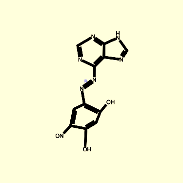 O=Nc1cc(/N=N/c2ncnc3[nH]cnc23)c(O)cc1O